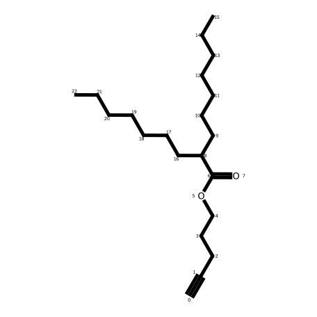 C#CCCCOC(=O)C(CCCCCCC)CCCCCCC